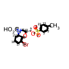 Cc1ccc(S(=O)(=O)OC[C@H]2CN(C(=O)O)c3cccc(Br)c3O2)cc1